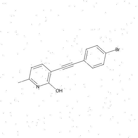 Cc1ccc(C#Cc2ccc(Br)cc2)c(O)n1